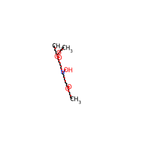 CCCCCCCOC(=O)CCCCCCCCCN(CCO)CCCCCCCCCC(=O)OC(CCCCCC)COCCCCC